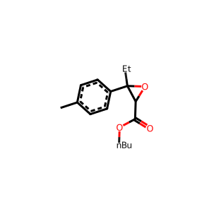 CCCCOC(=O)C1OC1(CC)c1ccc(C)cc1